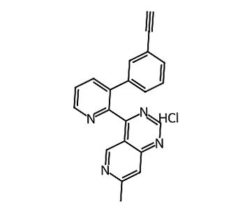 C#Cc1cccc(-c2cccnc2-c2ncnc3cc(C)ncc23)c1.Cl